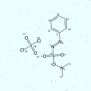 CN(C)OS(=O)(=O)N=Nc1ccccc1.O=S(=O)(Cl)Cl